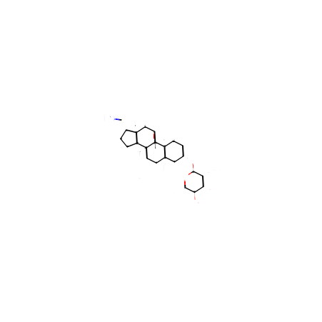 C[C@@H]1O[C@@H](O[C@H]2CC[C@@]3(C)[C@H](CC[C@@H]4[C@@H]3CC[C@]3(C)[C@@H](CN)CC[C@]43O)C2)[C@H](O)[C@H](O)[C@H]1O.Cl